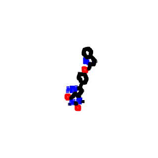 Cn1c(=O)c2[nH]c(-c3ccc(OCc4ccc5ccccc5n4)cc3)cc2n(C)c1=O